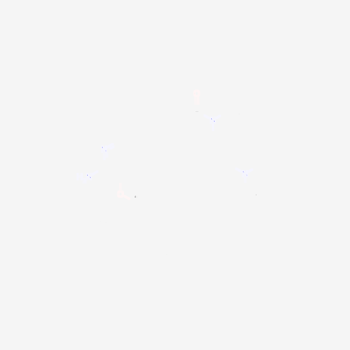 C[C@@H](Oc1cc(-c2ccc(C(=O)N(C)CCCN(C)C)cc2)cnc1N)c1c(Cl)ccc(F)c1Cl